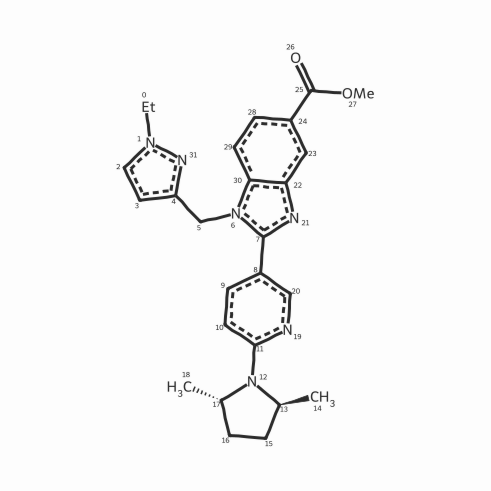 CCn1ccc(Cn2c(-c3ccc(N4[C@@H](C)CC[C@@H]4C)nc3)nc3cc(C(=O)OC)ccc32)n1